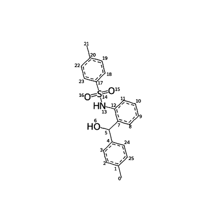 Cc1ccc(C(O)c2ccccc2NS(=O)(=O)c2ccc(C)cc2)cc1